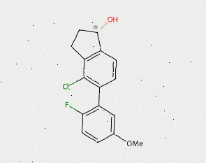 COc1ccc(F)c(-c2ccc3c(c2Cl)CC[C@@H]3O)c1